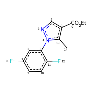 CCOC(=O)c1cnn(-c2cc(F)ccc2F)c1C